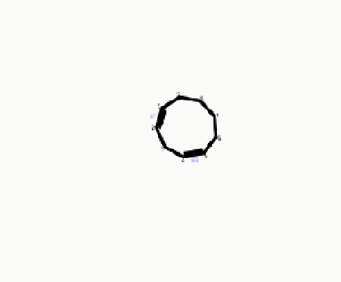 [CH]1/C=C\C/C=C\CCC1